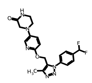 Cc1nnn(-c2ccc(C(F)F)cc2)c1COc1ccc(N2CCNC(=O)C2)cn1